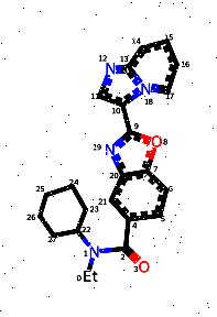 CCN(C(=O)c1ccc2oc(-c3cnc4ccccn34)nc2c1)C1CCCCC1